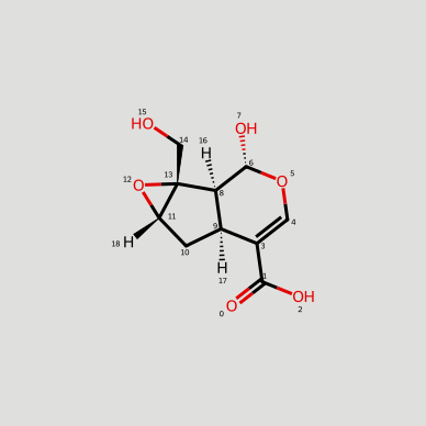 O=C(O)C1=CO[C@@H](O)[C@H]2[C@@H]1C[C@@H]1O[C@]21CO